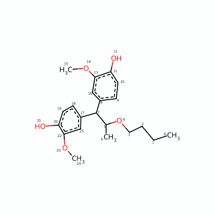 CCCCOC(C)C(c1ccc(O)c(OC)c1)c1ccc(O)c(OC)c1